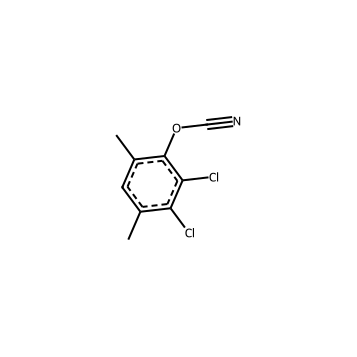 Cc1cc(C)c(OC#N)c(Cl)c1Cl